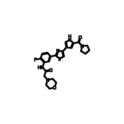 O=C(CN1CCOCC1)Nc1cc(-c2nc(-c3c[nH]c(C(=O)N4CCCC4)c3)cs2)ccc1F